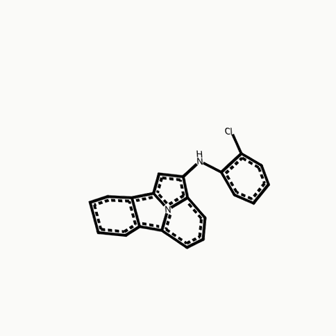 Clc1ccccc1Nc1cc2c3ccccc3c3cccc1n32